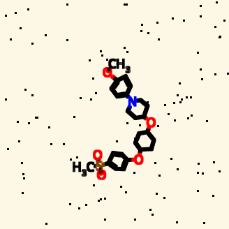 COc1ccc(N2CCC(OC3CCC(Oc4ccc(S(C)(=O)=O)cc4)CC3)CC2)cc1